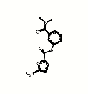 CN(C)C(=O)c1cccc(NC(=O)c2ccc([N+](=O)[O-])o2)c1